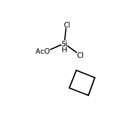 C1CCC1.CC(=O)O[SiH](Cl)Cl